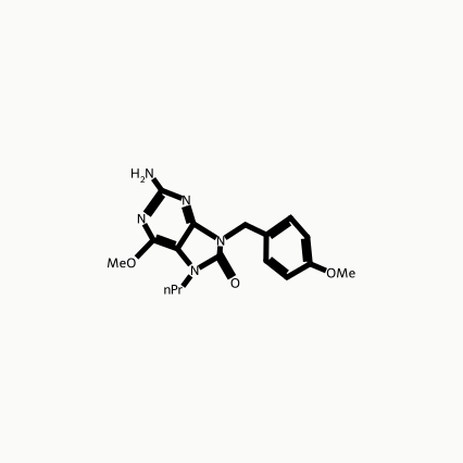 CCCn1c(=O)n(Cc2ccc(OC)cc2)c2nc(N)nc(OC)c21